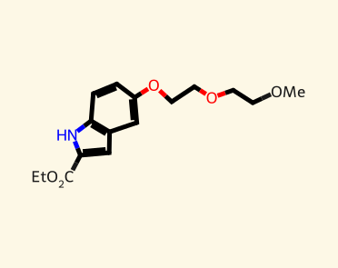 CCOC(=O)c1cc2cc(OCCOCCOC)ccc2[nH]1